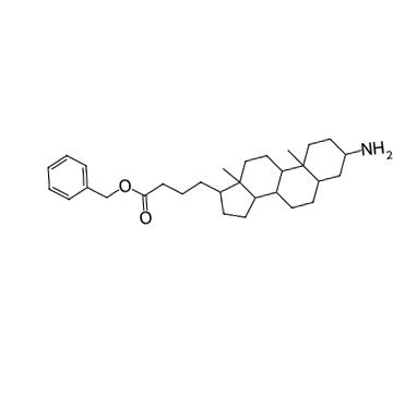 CC12CCC3C(CCC4CC(N)CCC43C)C1CCC2CCCC(=O)OCc1ccccc1